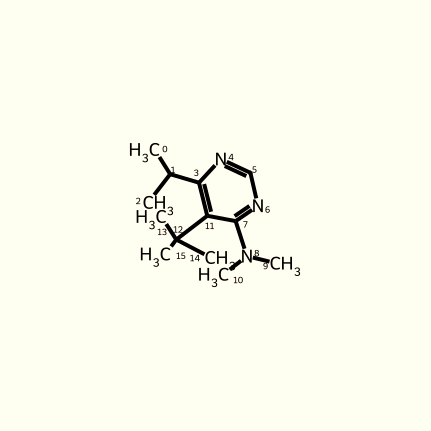 CC(C)c1ncnc(N(C)C)c1C(C)(C)C